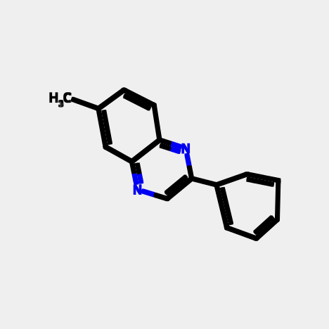 Cc1ccc2nc(-c3ccccc3)cnc2c1